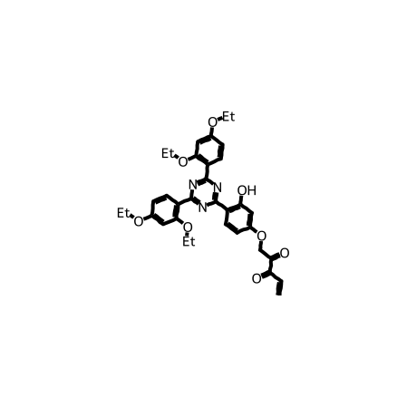 C=CC(=O)C(=O)COc1ccc(-c2nc(-c3ccc(OCC)cc3OCC)nc(-c3ccc(OCC)cc3OCC)n2)c(O)c1